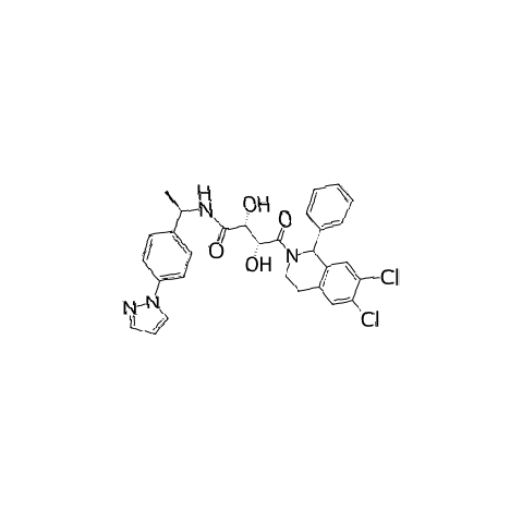 C[C@@H](NC(=O)[C@H](O)[C@@H](O)C(=O)N1CCc2cc(Cl)c(Cl)cc2C1c1ccccc1)c1ccc(-n2cccn2)cc1